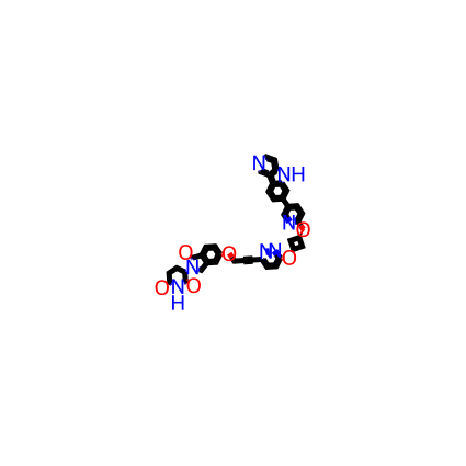 O=C1CCC(N2Cc3cc(OCC#Cc4ccc(O[C@H]5C[C@H](Oc6ccc(-c7ccc8c(c7)[nH]c7ccncc78)cn6)C5)nn4)ccc3C2=O)C(=O)N1